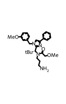 COCC(=O)N(CCCN)[C@@H](c1nc(-c2ccccc2)cn1Cc1cccc(OC)c1)C(C)(C)C